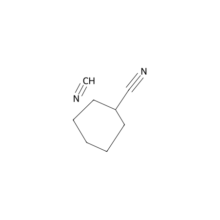 C#N.N#CC1CCCCC1